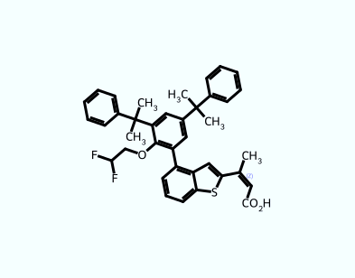 C/C(=C/C(=O)O)c1cc2c(-c3cc(C(C)(C)c4ccccc4)cc(C(C)(C)c4ccccc4)c3OCC(F)F)cccc2s1